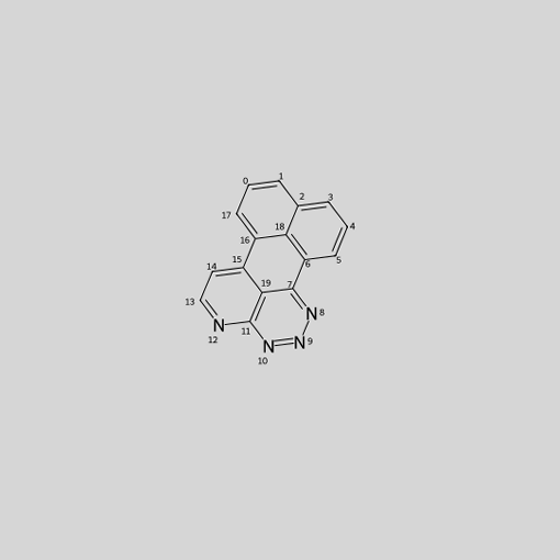 c1cc2cccc3c4nnnc5nccc(c(c1)c23)c54